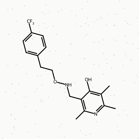 Cc1nc(C)c(CNOCCc2ccc(C(F)(F)F)cc2)c(O)c1C